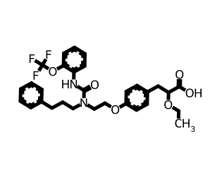 CCOC(Cc1ccc(OCCN(CCCc2ccccc2)C(=O)Nc2ccccc2OC(F)(F)F)cc1)C(=O)O